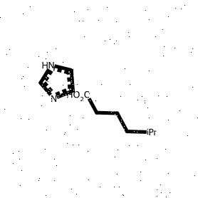 CC(C)CCCC(=O)O.c1c[nH]cn1